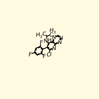 CC(C)Nc1c(-c2c(F)cc(F)cc2F)c(Cl)nc2nncnc12